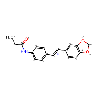 CCC(=O)Nc1ccc(/C=C/c2ccc3c(c2)OCO3)cc1